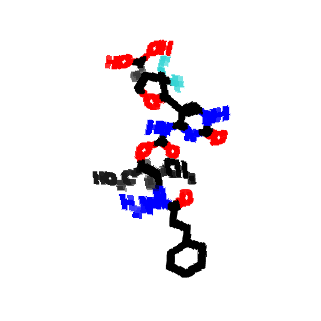 C[C@@H]([C@H](OC(=O)Nc1nc(=O)[nH]cc1C1OC[C@H](C(O)O)C1(F)F)C(=O)O)N(N)C(=O)CCC1CCCCC1